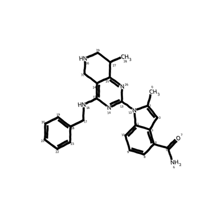 Cc1cc2c(C(N)=O)cccc2n1-c1nc(NCc2ccccc2)c2c(n1)C(C)CNC2